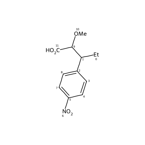 CCC(c1ccc([N+](=O)[O-])cc1)C(OC)C(=O)O